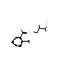 COC(C)C(O)CO.O=C(O)c1ccccc1C(=O)O